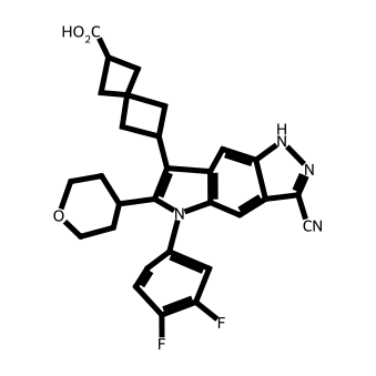 N#Cc1n[nH]c2cc3c(C4CC5(CC(C(=O)O)C5)C4)c(C4CCOCC4)n(-c4ccc(F)c(F)c4)c3cc12